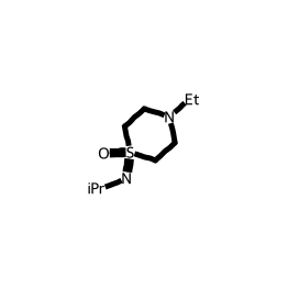 CCN1CCS(=O)(=NC(C)C)CC1